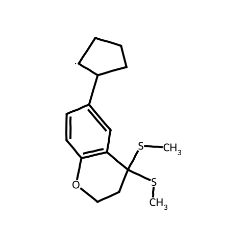 CSC1(SC)CCOc2ccc(C3[CH]CCC3)cc21